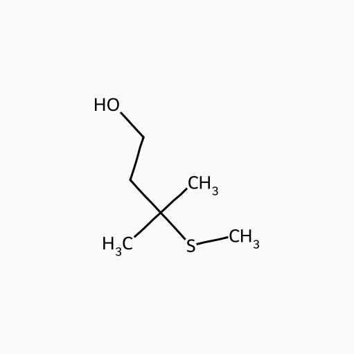 CSC(C)(C)CCO